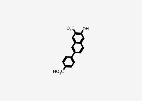 O=C(O)c1ccc(-c2ccc3cc(O)c(C(=O)O)cc3c2)cc1